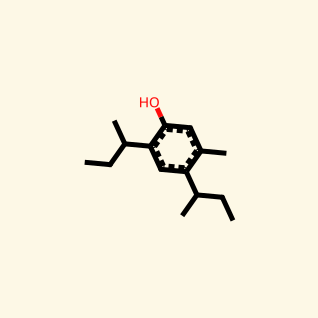 CCC(C)c1cc(C(C)CC)c(O)cc1C